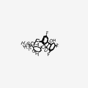 C[N+](C)(C)C1C[C@H](OC(=O)C(O)(c2cc(F)cc(F)c2)c2cc(F)cc(F)c2)CC[C@H]2OC12